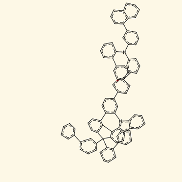 c1ccc(-c2cccc(C3(c4ccccc4-c4ccccc4)c4cccc5c4-c4c3ccc3c6ccccc6n(c43)-c3cc(-c4ccc(-c6cccc(N(c7cccc(-c8cccc9ccccc89)c7)c7ccccc7-c7ccccc7)c6)cc4)ccc3-5)c2)cc1